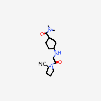 CN(C)C(=O)C1CCC(NCC(=O)N2CCC[C@H]2C#N)CC1